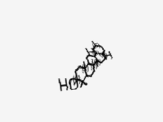 C[C@H]1CC[C@@H]2CC[C@@]3(C)C(=CCC4[C@@]5(C)CC[C@H](O)C(C)(C)C5CC[C@]43C)[C@@H]2C1